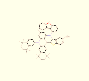 Cc1cc2c3c(c1)N(c1cccc4oc5ccccc5c14)c1c(sc4ccc(C(C)(C)C)cc14)B3c1cc3c(cc1N2c1ccc2c(c1)C(C)(C)CCC2(C)C)C(C)(C)CCC3(C)C